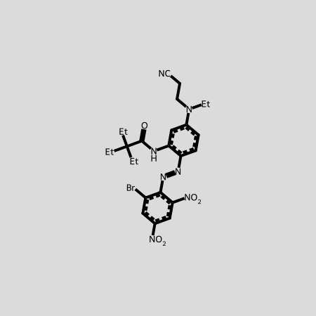 CCN(CCC#N)c1ccc(N=Nc2c(Br)cc([N+](=O)[O-])cc2[N+](=O)[O-])c(NC(=O)C(CC)(CC)CC)c1